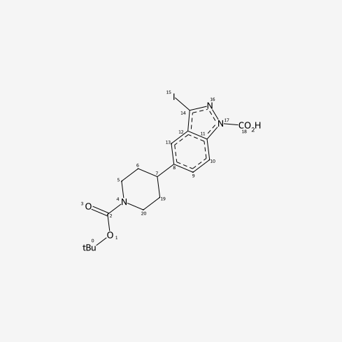 CC(C)(C)OC(=O)N1CCC(c2ccc3c(c2)c(I)nn3C(=O)O)CC1